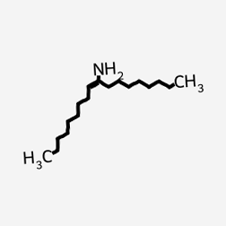 CCCCCCCC/C=C(/N)CCCCCCCC